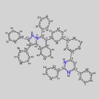 c1ccc(-c2cc(-c3cccc(-c4cccc(-c5c(-c6ccccc6)n6nc(-c7ccccc7)c(-c7ccccc7)c6c6ccccc56)c4)c3)nc(-c3ccccc3)n2)cc1